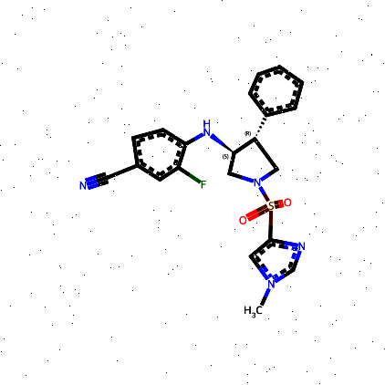 Cn1cnc(S(=O)(=O)N2C[C@@H](Nc3ccc(C#N)cc3F)[C@H](c3ccccc3)C2)c1